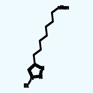 CCCCCCCCCCCCCCCCc1cn(CC)nn1